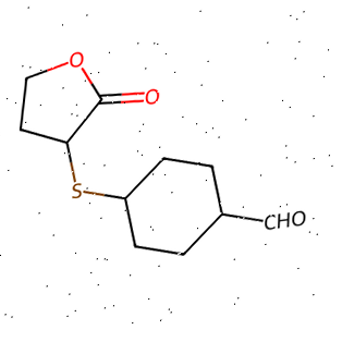 O=CC1CCC(SC2CCOC2=O)CC1